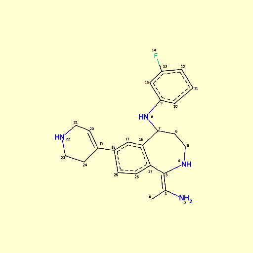 C/C(N)=C1/NCCC(Nc2cccc(F)c2)c2cc(C3=CCNCC3)ccc21